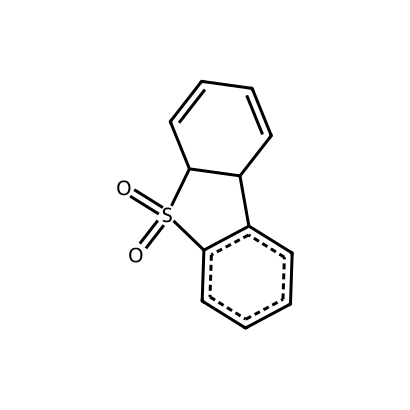 O=S1(=O)c2ccccc2C2C=CC=CC21